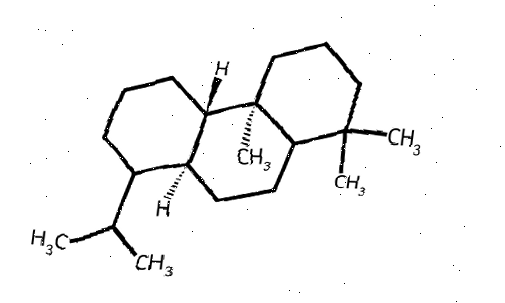 CC(C)C1CCC[C@H]2[C@H]1CCC1C(C)(C)CCC[C@@]12C